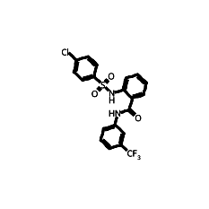 O=C(Nc1cccc(C(F)(F)F)c1)c1ccccc1NS(=O)(=O)c1ccc(Cl)cc1